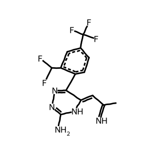 CC(=N)/C=C1\NC(N)=NN=C1c1ccc(C(F)(F)F)cc1C(F)F